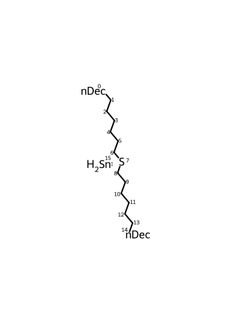 CCCCCCCCCCCCCCCCSCCCCCCCCCCCCCCCC.[SnH2]